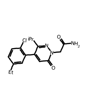 CCc1ccc(Cl)c(-c2cc(=O)n(CC(N)=O)nc2C(C)C)c1